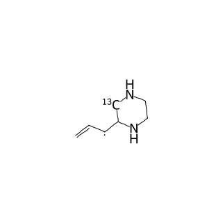 C=C[CH]C1[13CH2]NCCN1